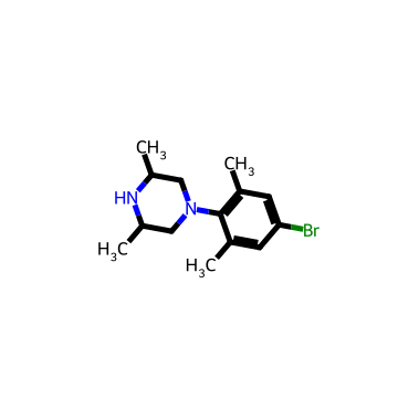 Cc1cc(Br)cc(C)c1N1CC(C)NC(C)C1